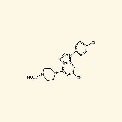 N#Cc1nc(N2CCN(C(=O)O)CC2)c2ncn(-c3ccc(Cl)cc3)c2n1